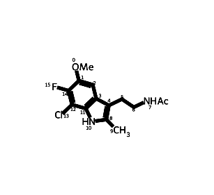 COc1cc2c(CCNC(C)=O)c(C)[nH]c2c(Cl)c1F